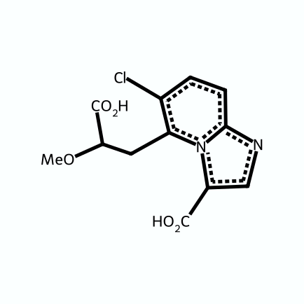 COC(Cc1c(Cl)ccc2ncc(C(=O)O)n12)C(=O)O